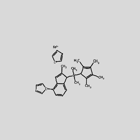 CC1=Cc2c(-[c-]3cccc3)cccc2C1[Si](C)(C)C1C(C)=C(C)C(C)=C1C.[Fe+2].c1cc[cH-]c1